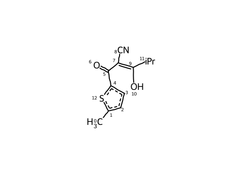 Cc1ccc(C(=O)C(C#N)=C(O)C(C)C)s1